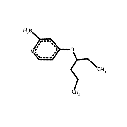 Bc1cc(OC(CC)CCC)ccn1